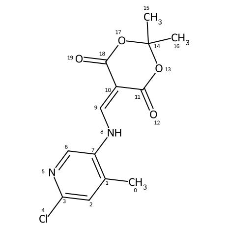 Cc1cc(Cl)ncc1NC=C1C(=O)OC(C)(C)OC1=O